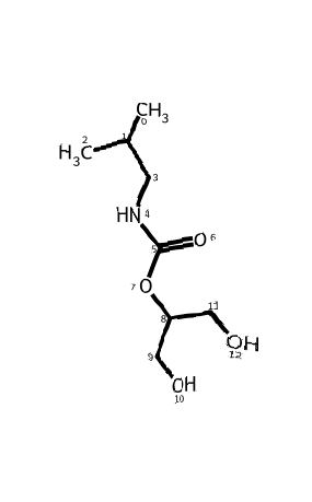 CC(C)CNC(=O)OC(CO)CO